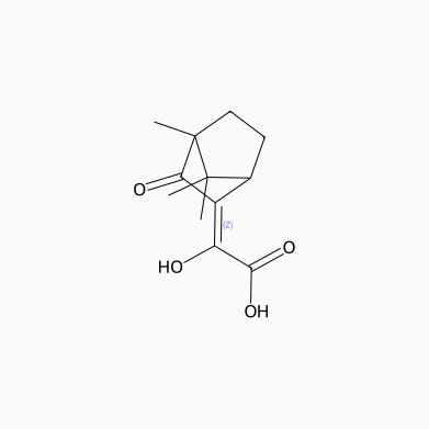 CC12CCC(/C(=C(/O)C(=O)O)C1=O)C2(C)C